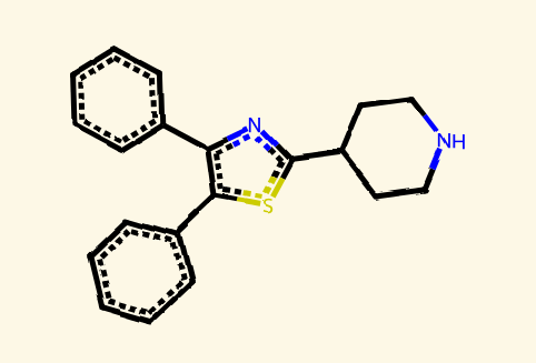 c1ccc(-c2nc(C3CCNCC3)sc2-c2ccccc2)cc1